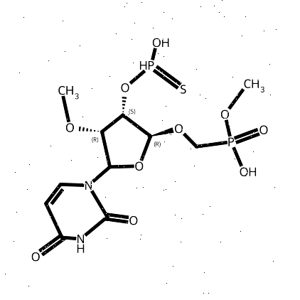 CO[C@H]1C(n2ccc(=O)[nH]c2=O)O[C@H](OCP(=O)(O)OC)[C@H]1O[PH](O)=S